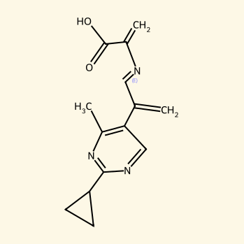 C=C(/N=C/C(=C)c1cnc(C2CC2)nc1C)C(=O)O